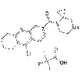 O=C(O)C(F)(F)F.O=C(c1ccc2c(Cl)c3c(nc2c1)CCCC3)N1CCNCC12CC2